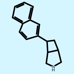 c1ccc2cc(C3CC4CNCC43)ccc2c1